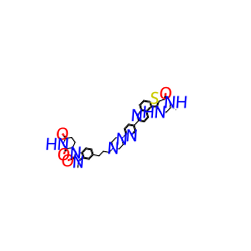 C[C@@H]1CNc2c(sc3ccc4nc(-c5ccc(N6CCN(CCCc7ccc8c(c7)n(C)c(=O)n8C7CCC(=O)NC7=O)CC6)nc5)ccc4c23)C(=O)N1